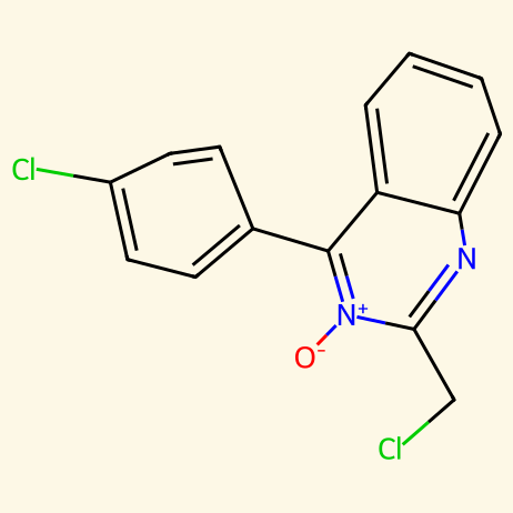 [O-][n+]1c(CCl)nc2ccccc2c1-c1ccc(Cl)cc1